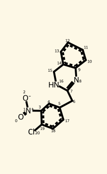 O=[N+]([O-])c1cc(CC2=Nc3ccccc3CN2)ccc1Cl